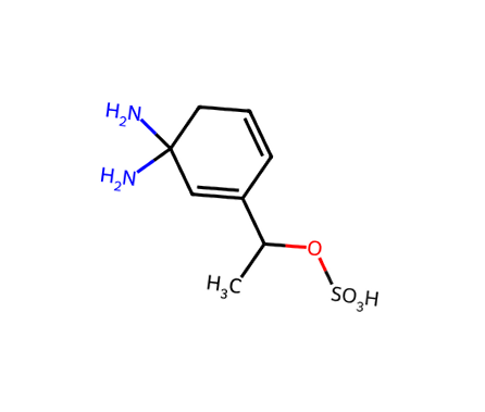 CC(OS(=O)(=O)O)C1=CC(N)(N)CC=C1